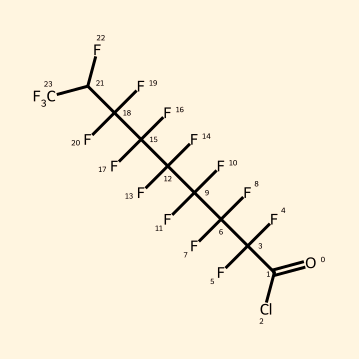 O=C(Cl)C(F)(F)C(F)(F)C(F)(F)C(F)(F)C(F)(F)C(F)(F)C(F)C(F)(F)F